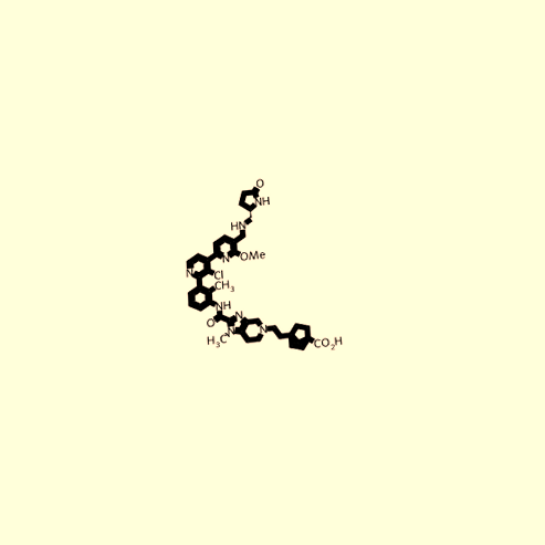 COc1nc(-c2ccnc(-c3cccc(NC(=O)c4nc5c(n4C)CCN(CCC46CCC(C(=O)O)(CC4)C6)C5)c3C)c2Cl)ccc1CNC[C@@H]1CCC(=O)N1